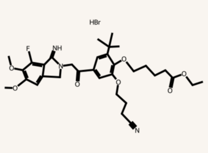 Br.CCOC(=O)CCCCOc1c(OCCCC#N)cc(C(=O)CN2Cc3cc(OC)c(OC)c(F)c3C2=N)cc1C(C)(C)C